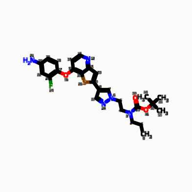 CCCN(CCn1cc(-c2cc3nccc(Oc4ccc(N)cc4F)c3s2)cn1)C(=O)OC(C)(C)C